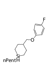 CCCCC[SiH]1CCC(COc2ccc(F)cc2)CC1